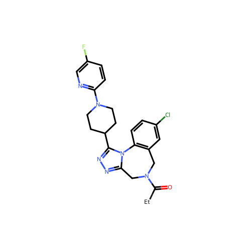 CCC(=O)N1Cc2cc(Cl)ccc2-n2c(nnc2C2CCN(c3ccc(F)cn3)CC2)C1